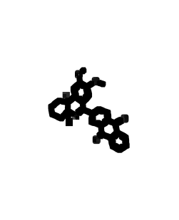 COc1cc2c(cc1OC)[C@H]1CCCC[C@H]1N=C2c1ccc2c(c1)C(=O)c1ccccc1C2=O